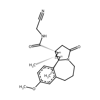 COc1ccc2c(c1)CCCN1C(=O)CC3[C@H](C(=O)NCC#N)[C@@H](C)[C@H](C)C231